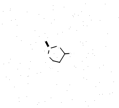 NC1CCO[PH](=O)O1.[Na]